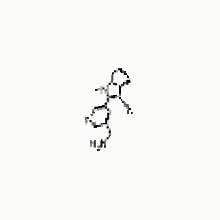 Cn1c(-c2cncc(CN)c2)c(C#N)c2ccccc21